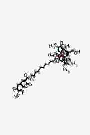 CCN(CCCCCCCCCCCCNC(=O)c1cc2cc(F)c(O)c(F)c2oc1=O)C(=O)O[C@@]12[C@H](O)[C@@H](N)[C@@]3(O)[C@@H](C=C(CO)C[C@]4(O)C(=O)C(C)=C[C@@H]34)[C@@H]1C2(C)C